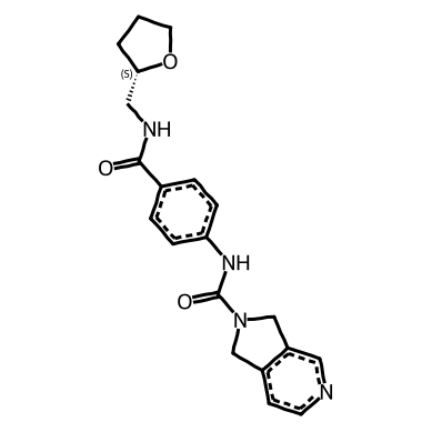 O=C(NC[C@@H]1CCCO1)c1ccc(NC(=O)N2Cc3ccncc3C2)cc1